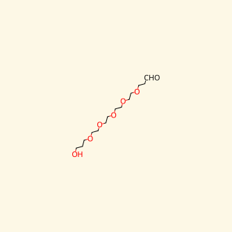 O=CCCOCCOCCOCCOCCOCCCO